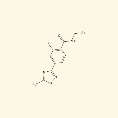 CC(=O)CNC(=O)c1ccc(-c2noc(C(F)(F)F)n2)cc1F